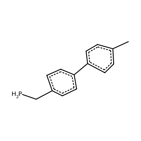 Cc1ccc(-c2ccc(CP)cc2)cc1